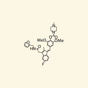 COc1cc(C=C2C(C)=C(CC(=O)NCc3ccco3)c3cc(F)ccc32)cc(OC)c1OC(=O)N1CCN(C)CC1